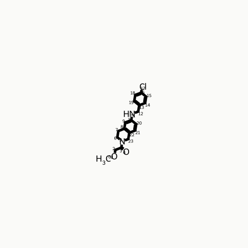 COCC(=O)N1CCc2cc(NCc3ccc(Cl)cc3)ccc2C1